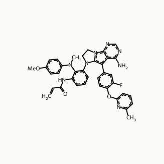 C=CC(=O)Nc1cccc(N2CCn3c2c(-c2ccc(Oc4cccc(C)n4)c(F)c2)c2c(N)ncnc23)c1N(C)c1ccc(OC)cc1